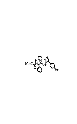 COC(=O)N[C@@H](C(=O)N1CCC[C@H]1c1ncc(-c2ccc(Br)cc2)[nH]1)c1ccccc1